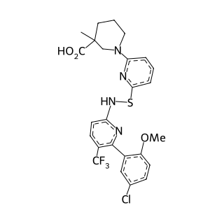 COc1ccc(Cl)cc1-c1nc(NSc2cccc(N3CCCC(C)(C(=O)O)C3)n2)ccc1C(F)(F)F